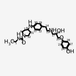 CCNC(=O)N1CCC(Nc2ccc(CCNC[C@H](O)COc3ccc(O)cc3)cc2)CC1